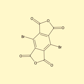 O=c1oc(=O)c2c(Br)c3c(=O)oc(=O)c3c(Br)c12